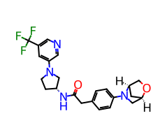 O=C(Cc1ccc(N2C[C@H]3C[C@@H]2CO3)cc1)N[C@@H]1CCN(c2cncc(C(F)(F)F)c2)C1